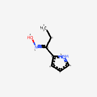 CCC(=NO)c1ccc[nH]1